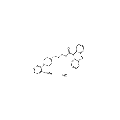 COc1ccccc1N1CCN(CCCOC(=O)C2c3ccccc3Oc3ccccc32)CC1.Cl